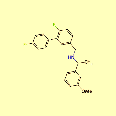 COc1cccc([C@@H](C)NCc2ccc(F)c(-c3ccc(F)cc3)c2)c1